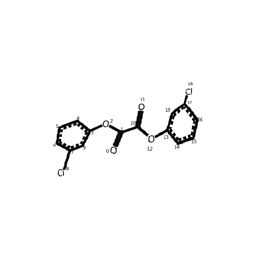 O=C(Oc1cccc(Cl)c1)C(=O)Oc1cccc(Cl)c1